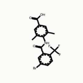 Cc1cc(C(=O)O)cc(C)c1NC(=O)c1cc(Br)ccc1C(F)(F)F